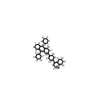 c1ccc(-c2c3ccccc3c(-c3ccccc3)c3cc(-c4ccc(-c5ccnc6ccccc56)cc4)ccc23)cc1